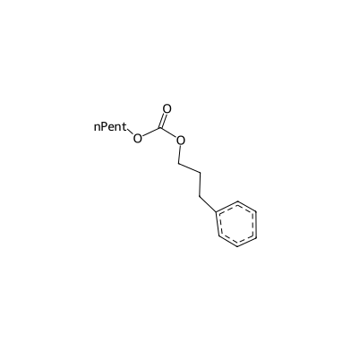 CCCCCOC(=O)OCCCc1ccccc1